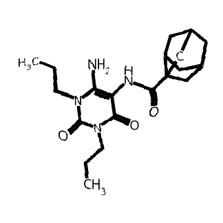 CCCn1c(N)c(NC(=O)C23CC4CC(CC2C4)C3)c(=O)n(CCC)c1=O